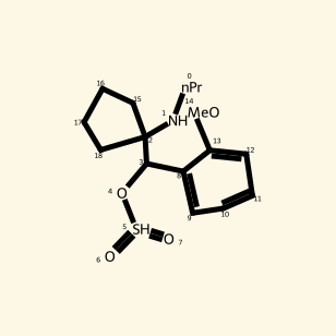 CCCNC1(C(O[SH](=O)=O)c2ccccc2OC)CCCC1